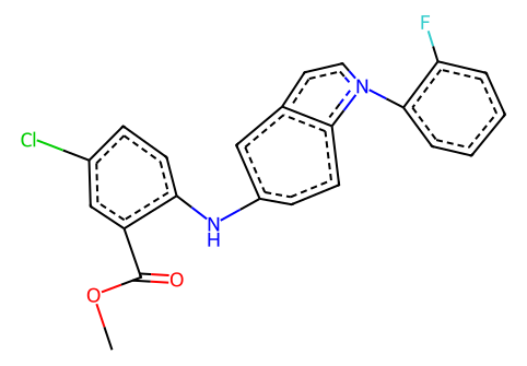 COC(=O)c1cc(Cl)ccc1Nc1ccc2c(ccn2-c2ccccc2F)c1